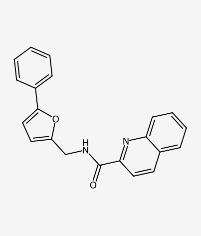 O=C(NCc1ccc(-c2ccccc2)o1)c1ccc2ccccc2n1